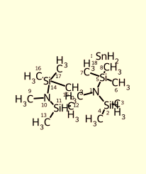 CN([SiH](C)C)[Si](C)(C)C.CN([SiH](C)C)[Si](C)(C)C.[SnH2]